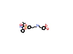 COc1ccc(CCN(C)CCCc2ccc(S(=O)(=O)c3c(-c4ccccc4)noc3C(C)C)cc2)cc1OC